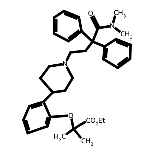 CCOC(=O)C(C)(C)Oc1ccccc1C1CCN(CCC(C(=O)N(C)C)(c2ccccc2)c2ccccc2)CC1